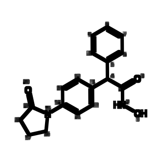 O=C(NO)C(c1ccccc1)c1ccc(N2CCCC2=O)cc1